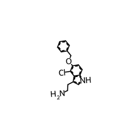 NCCc1c[nH]c2ccc(OCc3ccccc3)c(Cl)c12